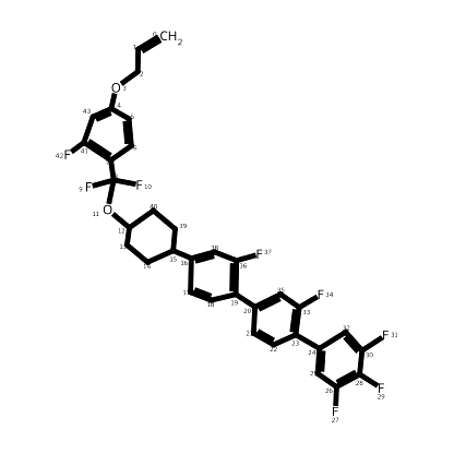 C=CCOc1ccc(C(F)(F)OC2CCC(c3ccc(-c4ccc(-c5cc(F)c(F)c(F)c5)c(F)c4)c(F)c3)CC2)c(F)c1